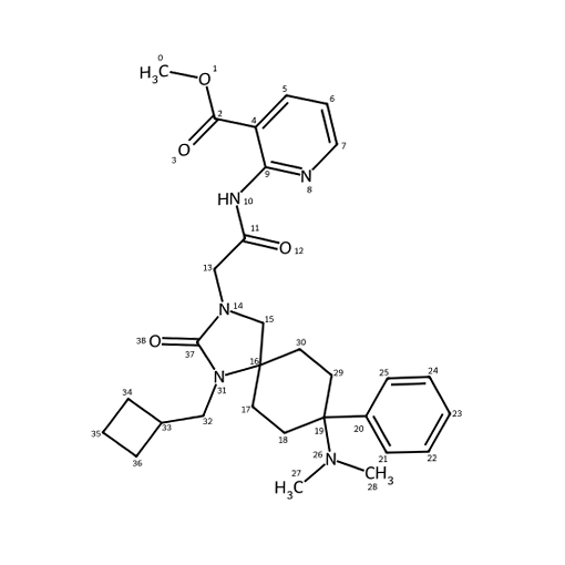 COC(=O)c1cccnc1NC(=O)CN1CC2(CCC(c3ccccc3)(N(C)C)CC2)N(CC2CCC2)C1=O